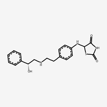 O=C1NC(=O)C(Nc2ccc(CCNC[C@H](O)c3ccccc3)cc2)S1